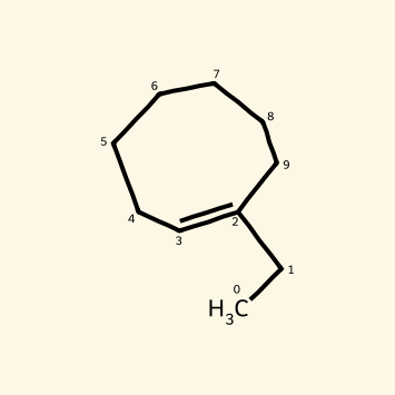 CC/C1=C/CCCCCC1